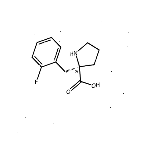 O=C(O)[C@]1(Cc2ccccc2F)CCCN1